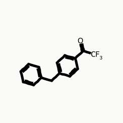 O=C(c1ccc(Cc2ccccc2)cc1)C(F)(F)F